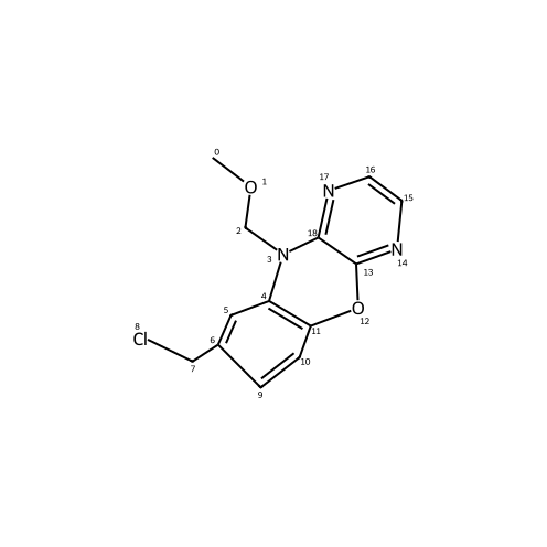 COCN1c2cc(CCl)ccc2Oc2nccnc21